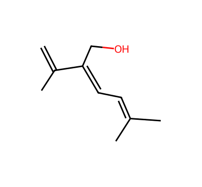 C=C(C)C(=CC=C(C)C)CO